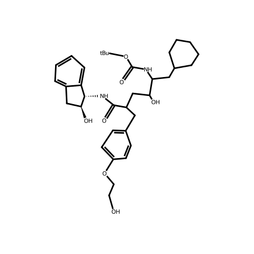 CC(C)(C)OC(=O)NC(CC1CCCCC1)C(O)CC(Cc1ccc(OCCO)cc1)C(=O)N[C@H]1c2ccccc2C[C@@H]1O